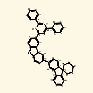 C1=CC2Oc3ccc(-c4cc(-c5ccccc5)nc(-c5ccccc5)n4)cc3C2C=C1c1ccc2c(c1)-c1ccccc1C21CCCCC1